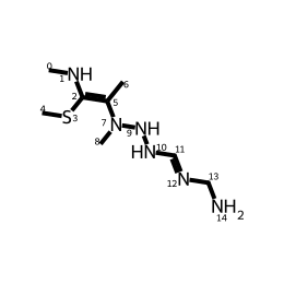 CN/C(SC)=C(\C)N(C)NN/C=N/CN